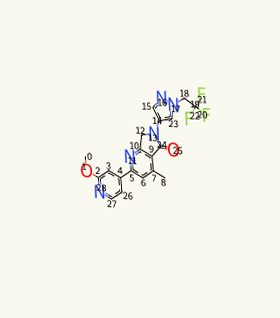 COc1cc(-c2cc(C)c3c(n2)CN(c2cnn(CC(F)(F)F)c2)C3=O)ccn1